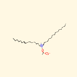 CC(=O)[O-].CCCCCCCCCCCCCC[N+](C)(C)CCCCCCCCCCCCCC